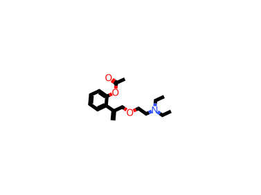 C=C(COCCN(CC)CC)c1ccccc1OC(C)=O